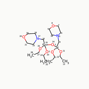 CCO[Si](CN1CCOCC1)(OCC)O[Si](CN1CCOCC1)(OCC)OCC